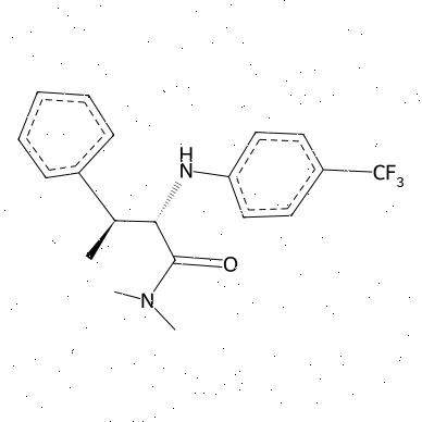 C[C@@H](c1ccccc1)[C@H](Nc1ccc(C(F)(F)F)cc1)C(=O)N(C)C